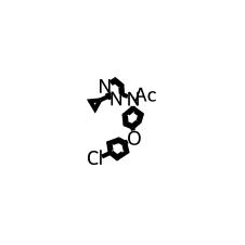 CC(=O)N(c1ccc(Oc2ccc(Cl)cc2)cc1)c1ccnc(C2CC2)n1